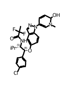 CC(C)[C@H](NC(=O)C(C)(F)F)[C@H](Oc1ccc2c(cnn2C2=CN(C)C(O)C=C2)c1)c1ccc(Cl)cc1